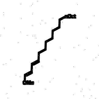 [CH2]OC=CC=CCCCCCCCCCCCCCCC